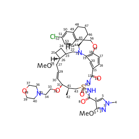 COc1nn(C)cc1C(=O)NS1(=O)=NC(=O)c2ccc3c(c2)N(C[C@@H]2CC[C@H]2[C@@H](OC)/C=C/[C@H](OCCN2CCOCC2)[C@H](C)C1)C[C@@]1(CCCc2cc(Cl)ccc21)CO3